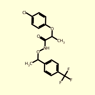 CC(Oc1ccc(Cl)cc1)C(=O)NOC(C)c1ccc(C(F)(F)F)cc1